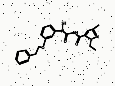 CCn1nc(C)cc1C(=O)NC(=O)N(S)c1cccc(OCCc2ccccc2)c1